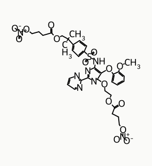 COc1ccccc1Oc1c(NS(=O)(=O)c2ccc(C(C)(C)COC(=O)CCCO[N+](=O)[O-])cc2)nc(-c2ncccn2)nc1OCCOC(=O)CCCO[N+](=O)[O-]